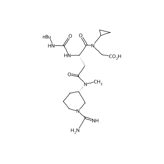 CCCCNC(=O)N[C@@H](CC(=O)N(C)[C@H]1CCCN(C(=N)N)C1)C(=O)N(CC(=O)O)C1CC1